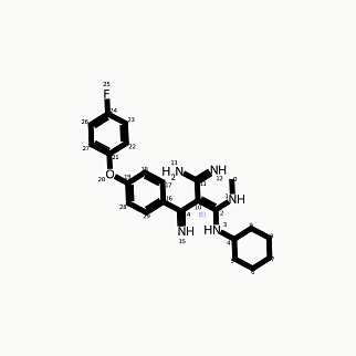 CN/C(NC1CCCCC1)=C(\C(=N)N)C(=N)c1ccc(Oc2ccc(F)cc2)cc1